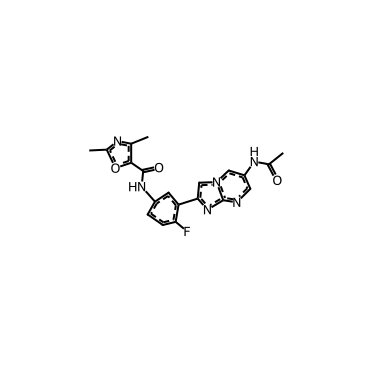 CC(=O)Nc1cnc2nc(-c3cc(NC(=O)c4oc(C)nc4C)ccc3F)cn2c1